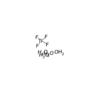 O.O.O.O.[F][Ti]([F])([F])[F]